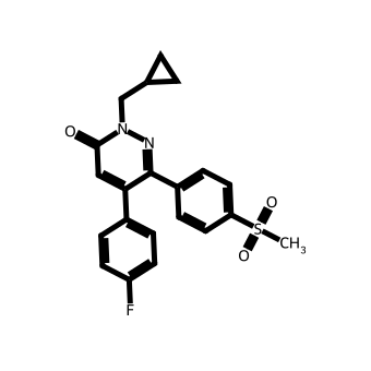 CS(=O)(=O)c1ccc(-c2nn(CC3CC3)c(=O)cc2-c2ccc(F)cc2)cc1